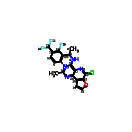 Cc1nc(N[C@H](C)c2cccc(C(F)F)c2F)c2nc(Cl)c3occc3c2n1